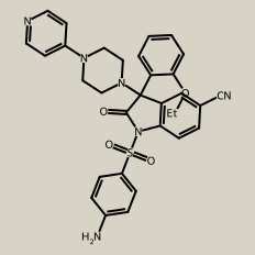 CCOc1ccccc1C1(N2CCN(c3ccncc3)CC2)C(=O)N(S(=O)(=O)c2ccc(N)cc2)c2ccc(C#N)cc21